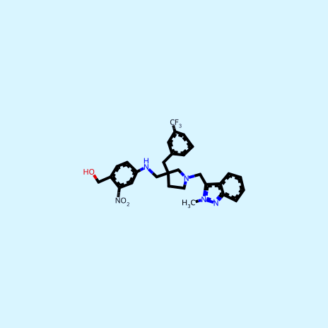 Cn1nc2ccccc2c1CN1CCC(CNc2ccc(CO)c([N+](=O)[O-])c2)(Cc2cccc(C(F)(F)F)c2)C1